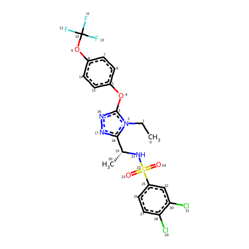 CCn1c(Oc2ccc(OC(F)(F)F)cc2)nnc1[C@@H](C)NS(=O)(=O)c1ccc(Cl)c(Cl)c1